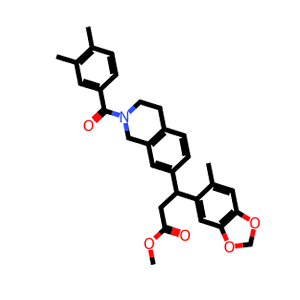 COC(=O)CC(c1ccc2c(c1)CN(C(=O)c1ccc(C)c(C)c1)CC2)c1cc2c(cc1C)OCO2